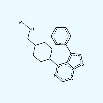 CC(C)NCC1CCN(c2ncnc3scc(-c4ccccc4)c23)CC1